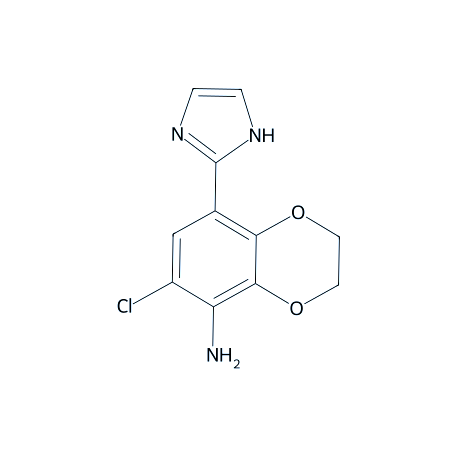 Nc1c(Cl)cc(-c2ncc[nH]2)c2c1OCCO2